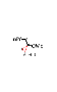 CCCCC(OC)OC=O